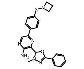 CN1N=C(c2ccccc2)OC1c1nc(-c2ccc(SN3CCC3)cc2)cnc1N